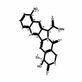 CC[C@@]1(O)C(=O)OCc2c1cc1n(c2=O)C(C(=O)OC)c2cc3c([N+](=O)[O-])cccc3nc2-1